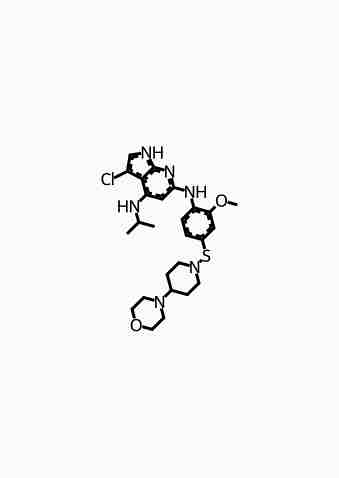 COc1cc(SN2CCC(N3CCOCC3)CC2)ccc1Nc1cc(NC(C)C)c2c(Cl)c[nH]c2n1